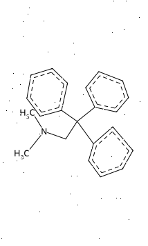 CN(C)CC(c1ccccc1)(c1ccccc1)c1ccccc1